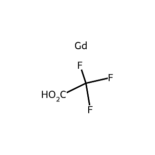 O=C(O)C(F)(F)F.[Gd]